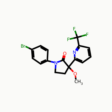 COC1(c2cccc(C(F)(F)F)n2)CCN(c2ccc(Br)cc2)C1=O